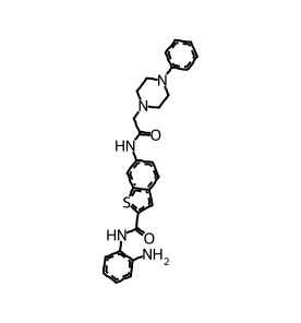 Nc1ccccc1NC(=O)c1cc2ccc(NC(=O)CN3CCN(c4ccccc4)CC3)cc2s1